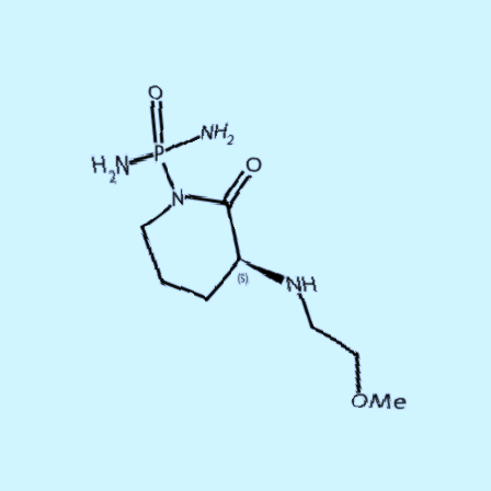 COCCN[C@H]1CCCN(P(N)(N)=O)C1=O